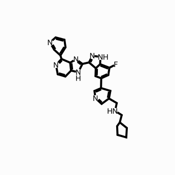 Fc1cc(-c2cncc(CNCC3CCCC3)c2)cc2c(-c3nc4c(-c5cccnc5)nccc4[nH]3)n[nH]c12